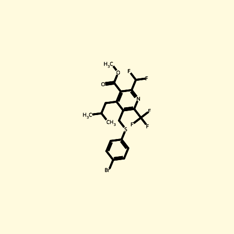 COC(=O)c1c(C(F)F)nc(C(F)(F)F)c(CSc2ccc(Br)cc2)c1CC(C)C